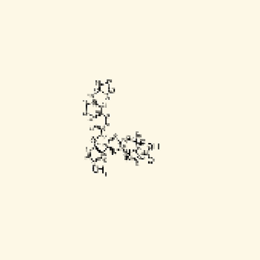 Cc1ccc(OCc2ccc3c(c2)CCN(CC2CCOC2)C3)c(-c2cccc(-n3ncc(C(=O)O)c3C(F)(F)F)n2)c1